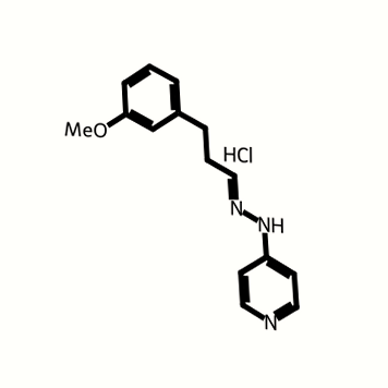 COc1cccc(CCC=NNc2ccncc2)c1.Cl